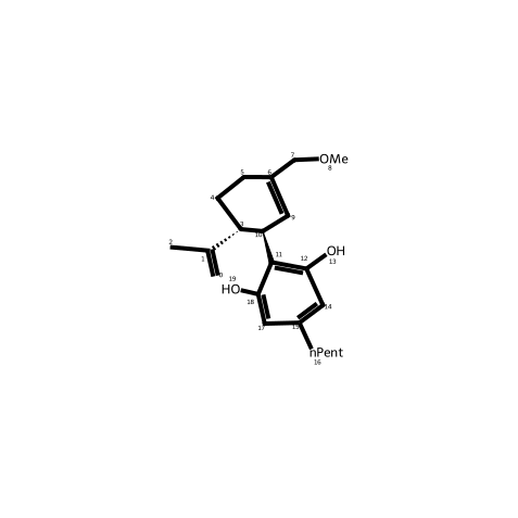 C=C(C)[C@@H]1CCC(COC)=C[C@H]1c1c(O)cc(CCCCC)cc1O